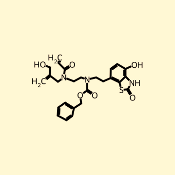 C=CC(=O)N(CCN(CCc1ccc(O)c2[nH]c(=O)sc12)C(=O)OCc1ccccc1)CC(=C)CO